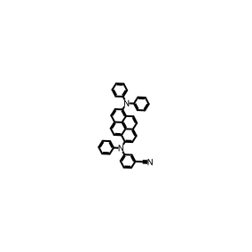 N#Cc1cccc(N(c2ccccc2)c2ccc3ccc4c(N(c5ccccc5)c5ccccc5)ccc5ccc2c3c54)c1